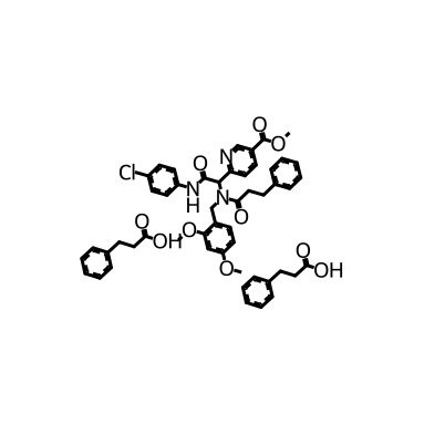 COC(=O)c1ccc(C(C(=O)Nc2ccc(Cl)cc2)N(Cc2ccc(OC)cc2OC)C(=O)CCc2ccccc2)nc1.O=C(O)CCc1ccccc1.O=C(O)CCc1ccccc1